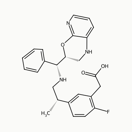 C[C@H](CN[C@H](c1ccccc1)[C@H]1CNc2cccnc2O1)c1ccc(F)c(CC(=O)O)c1